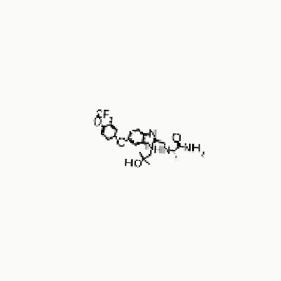 C[C@H](NCc1nc2ccc(OC3C=CC(OC(F)(F)F)=CC3)cc2n1CC(C)(C)O)C(N)=O